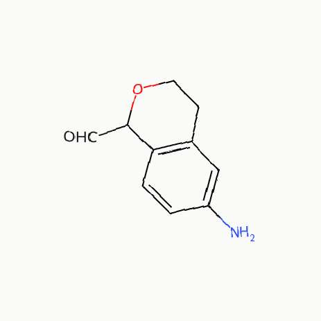 Nc1ccc2c(c1)CCOC2C=O